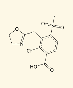 CS(=O)(=O)c1ccc(C(=O)O)c(Cl)c1CC1=NCCO1